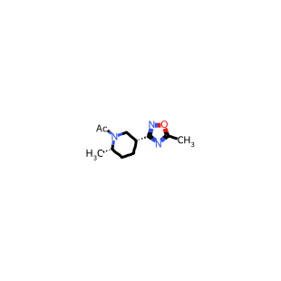 CC(=O)N1C[C@H](c2noc(C)n2)CC[C@@H]1C